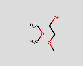 COCCO.[SiH3]O[SiH3]